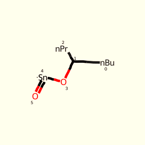 CCCCC(CCC)[O][Sn]=[O]